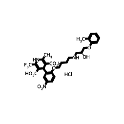 CC1=C(C(=O)O)C(c2cc([N+](=O)[O-])ccc2OCCCCNC[C@@H](O)COc2ccccc2C)C(C(=O)O)=C(C(F)(F)F)N1.Cl